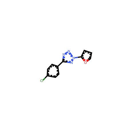 Clc1ccc(-c2nnn(-c3ccco3)n2)cc1